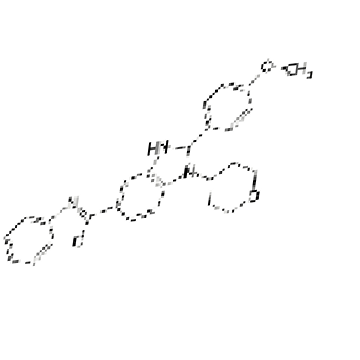 COc1ccc(C2Nc3cc(-c4nc5ccccc5o4)ccc3N2C2CCOCC2)cc1